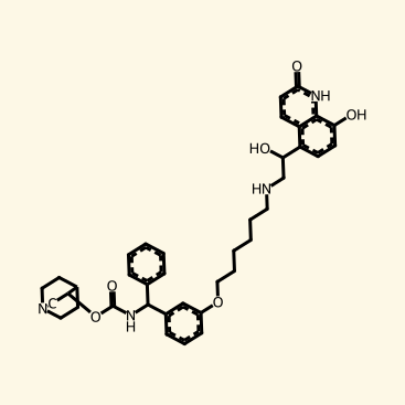 O=C(NC(c1ccccc1)c1cccc(OCCCCCCNCC(O)c2ccc(O)c3[nH]c(=O)ccc23)c1)OC1CN2CCC1CC2